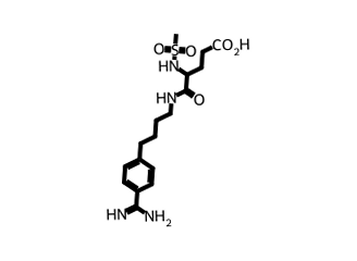 CS(=O)(=O)NC(CCC(=O)O)C(=O)NCCCCc1ccc(C(=N)N)cc1